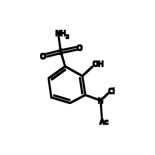 CC(=O)N(Cl)c1cccc(S(N)(=O)=O)c1O